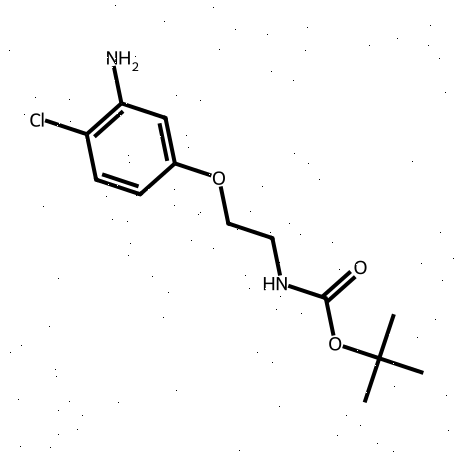 CC(C)(C)OC(=O)NCCOc1ccc(Cl)c(N)c1